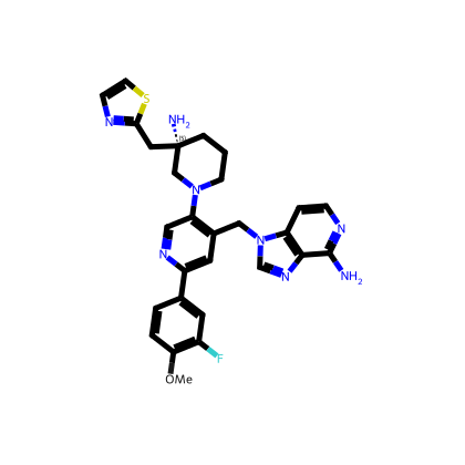 COc1ccc(-c2cc(Cn3cnc4c(N)nccc43)c(N3CCC[C@](N)(Cc4nccs4)C3)cn2)cc1F